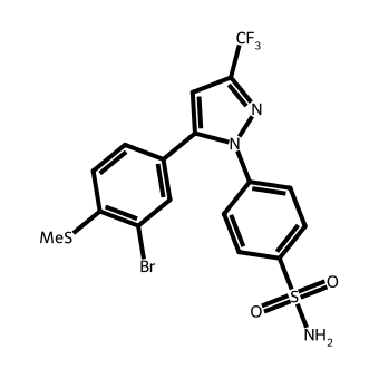 CSc1ccc(-c2cc(C(F)(F)F)nn2-c2ccc(S(N)(=O)=O)cc2)cc1Br